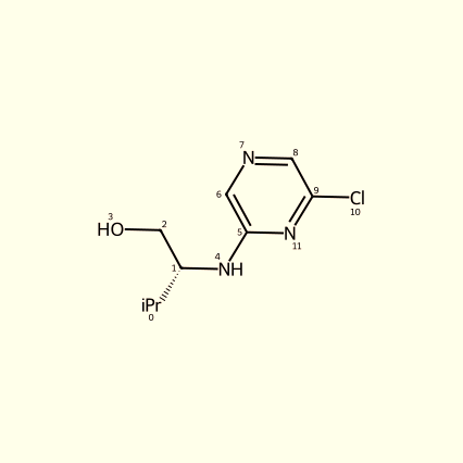 CC(C)[C@H](CO)Nc1cncc(Cl)n1